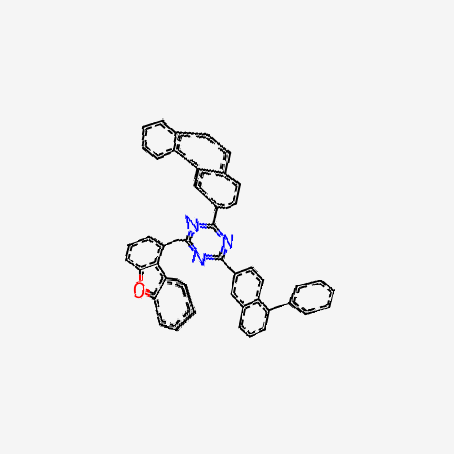 c1ccc(-c2cccc3cc(-c4nc(-c5ccc6ccc7ccccc7c6c5)nc(-c5cccc6oc7ccccc7c56)n4)ccc23)cc1